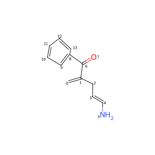 C=C(CC=CN)C(=O)c1ccccc1